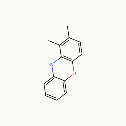 Cc1ccc2c(c1C)[N]c1ccccc1O2